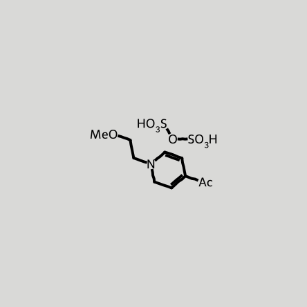 COCCN1C=CC(C(C)=O)=CC1.O=S(=O)(O)OS(=O)(=O)O